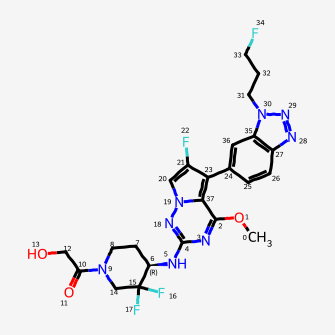 COc1nc(N[C@@H]2CCN(C(=O)CO)CC2(F)F)nn2cc(F)c(-c3ccc4nnn(CCCF)c4c3)c12